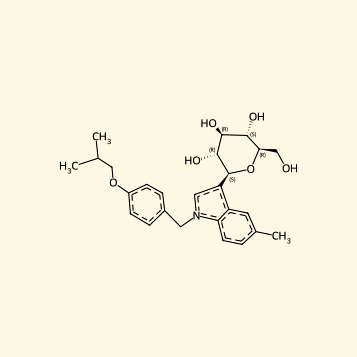 Cc1ccc2c(c1)c([C@@H]1O[C@H](CO)[C@@H](O)[C@H](O)[C@H]1O)cn2Cc1ccc(OCC(C)C)cc1